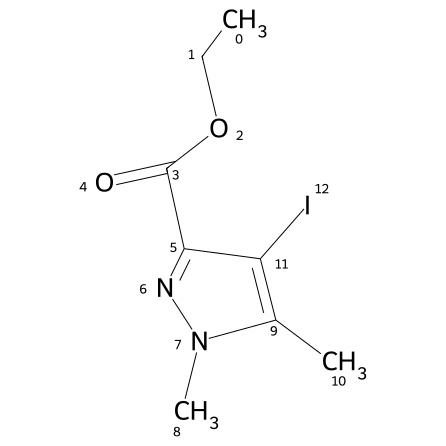 CCOC(=O)c1nn(C)c(C)c1I